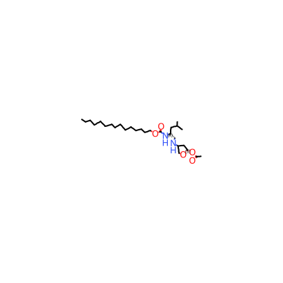 CCCCCCCCCCCCCCCOC(=O)N[C@@H](CNC1CO[C@@H](OC(C)=O)C1)CC(C)C